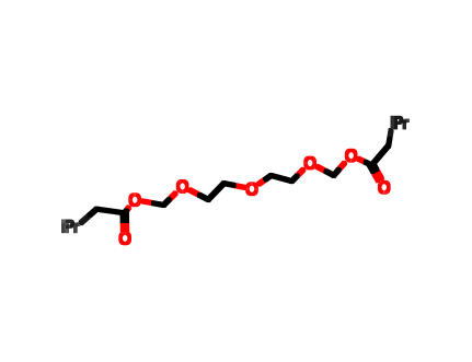 CC(C)CC(=O)OCOCCOCCOCOC(=O)CC(C)C